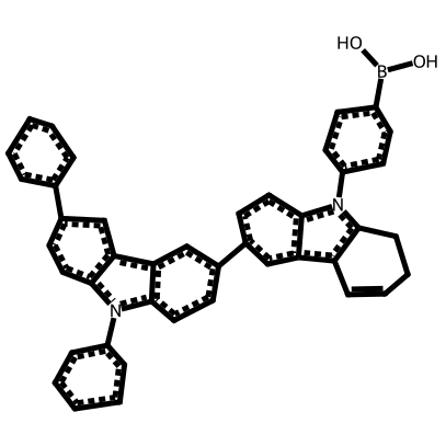 OB(O)c1ccc(-n2c3c(c4cc(-c5ccc6c(c5)c5cc(-c7ccccc7)ccc5n6-c5ccccc5)ccc42)C=CCC3)cc1